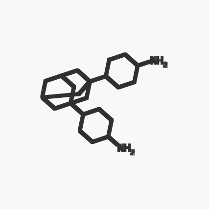 NC1CCC(C23CC4CC(C2)CC(C2CCC(N)CC2)(C4)C3)CC1